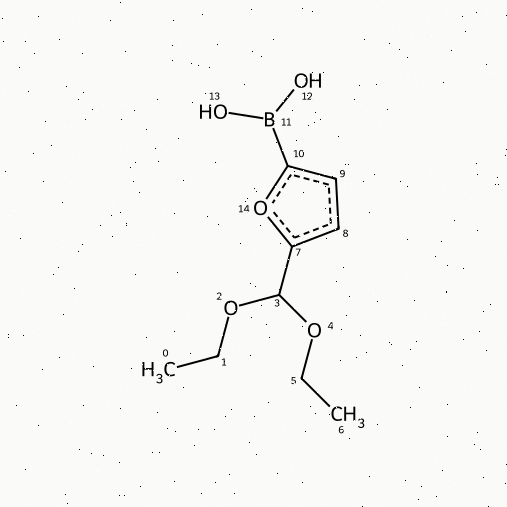 CCOC(OCC)c1ccc(B(O)O)o1